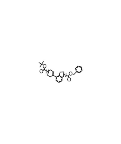 CC(C)(C)OC(=O)N1CC=C(c2cccc3c2CCN3C(=O)OCc2ccccc2)CC1